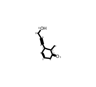 CC1C(=O)CC=CC1C#CCO